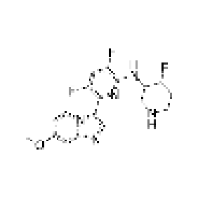 COc1ccn2c(-c3nc(NC4CNCCC4F)c(F)cc3F)cnc2c1